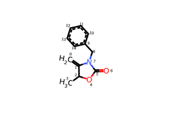 C=C1C(C)OC(=O)N1Cc1ccccc1